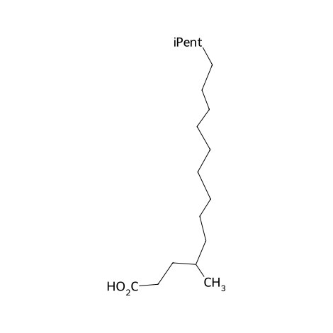 CCCC(C)CCCCCCCCCC(C)CCC(=O)O